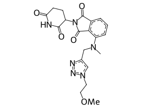 COCCn1cc(CN(C)c2cccc3c2C(=O)N(C2CCC(=O)NC2=O)C3=O)nn1